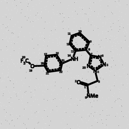 CNC(=O)Cn1nnc(-c2ccccc2Nc2ccc(OC(F)(F)F)cc2)n1